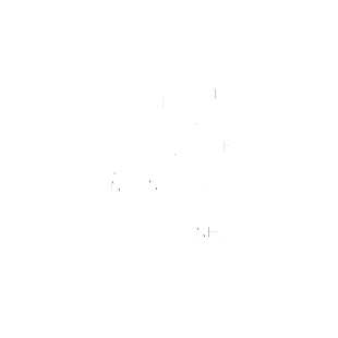 CC(C)(n1nccc1N)C(F)(F)F